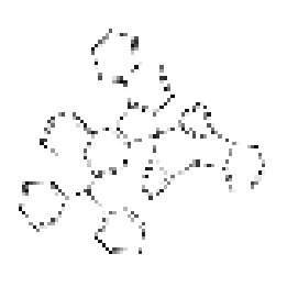 c1ccc(N(c2ccccc2)c2cc3c(c4ccccc24)-c2c(ccc4ccccc24)C32c3ccccc3-n3c4ccccc4c4cccc2c43)cc1